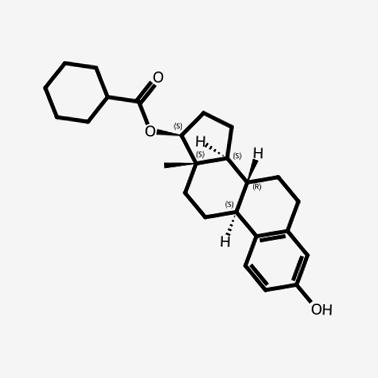 C[C@]12CC[C@@H]3c4ccc(O)cc4CC[C@H]3[C@@H]1CC[C@@H]2OC(=O)C1CCCCC1